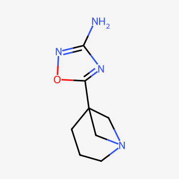 Nc1noc(C23CCCN(C2)C3)n1